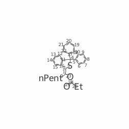 CCCCCC(CSC(c1ccccc1)(c1ccccc1)c1ccccc1)OC(=O)CC